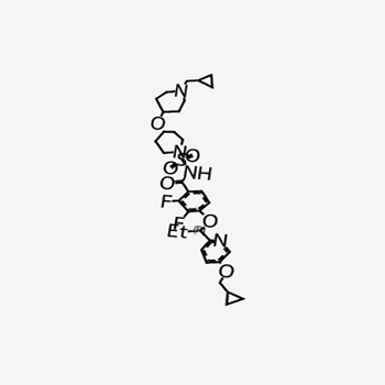 CC[C@@H](Oc1ccc(C(=O)NS(=O)(=O)N2CCC(OC3CCN(CC4CC4)CC3)CC2)c(F)c1F)c1ccc(OCC2CC2)cn1